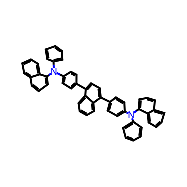 c1ccc(N(c2ccc(-c3ccc(-c4ccc(N(c5ccccc5)c5cccc6ccccc56)cc4)c4ccccc34)cc2)c2cccc3ccccc23)cc1